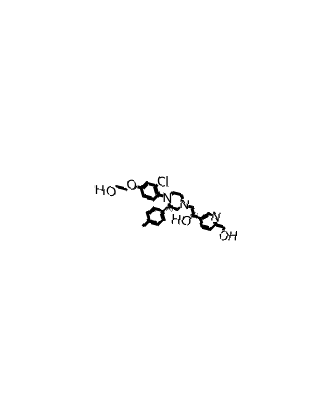 Cc1ccc([C@@H]2CN(C[C@@H](O)c3ccc(CO)nc3)CCN2c2ccc(OCCO)cc2Cl)cc1